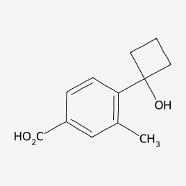 Cc1cc(C(=O)O)ccc1C1(O)CCC1